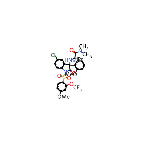 COc1ccc(S(=O)(=O)N2C(=O)C(N[C@H](C(=O)N(C)C)C(C)C)(c3ccccc3OC)c3cc(Cl)ccc32)c(OC(F)(F)F)c1